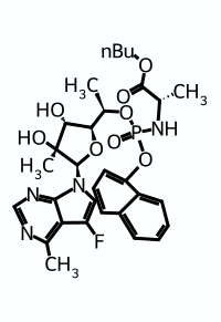 CCCCOC(=O)[C@H](C)NP(=O)(Oc1cccc2ccccc12)O[C@H](C)[C@H]1O[C@@H](n2cc(F)c3c(C)ncnc32)[C@](C)(O)[C@@H]1O